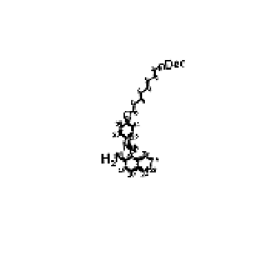 CCCCCCCCCCCCCCCCCCOc1ccc(N=Nc2c(N)ccc3ccccc23)cc1